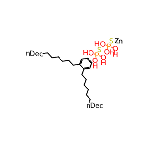 CCCCCCCCCCCCCCCCc1ccccc1CCCCCCCCCCCCCCCC.OP(O)(O)=S.OP(O)(O)=S.[Zn]